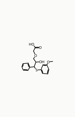 COc1cccc(SC(c2ccccc2)C(O)COCC(=O)O)c1